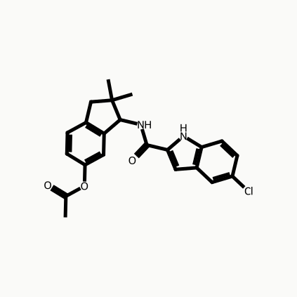 CC(=O)Oc1ccc2c(c1)C(NC(=O)c1cc3cc(Cl)ccc3[nH]1)C(C)(C)C2